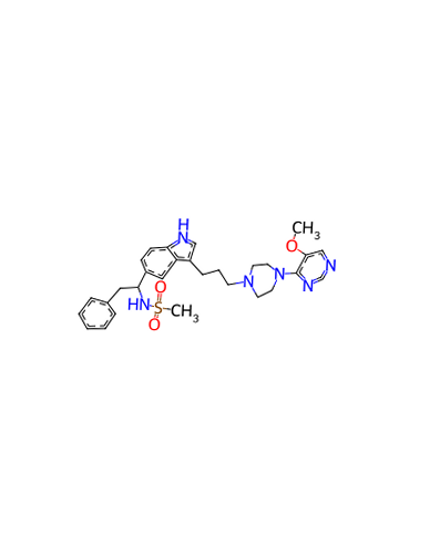 COc1cncnc1N1CCN(CCCc2c[nH]c3ccc(C(Cc4ccccc4)NS(C)(=O)=O)cc23)CC1